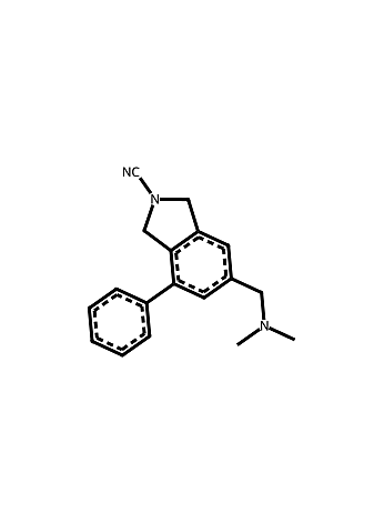 CN(C)Cc1cc2c(c(-c3ccccc3)c1)CN(C#N)C2